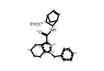 CCOC(=O)[C@@H]1C2C=CC(C2)[C@@H]1NC(=O)c1nn(Cc2ccccc2)c2c1CCCC2